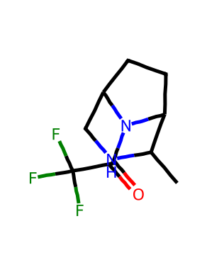 CC1NCC2CCC1N2C(=O)C(F)(F)F